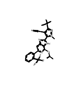 CC(C)Oc1nc(-c2ccccc2C(F)(F)F)cc2nc(-c3c(C#N)c(C(C)(C)C)nn3C)[nH]c12